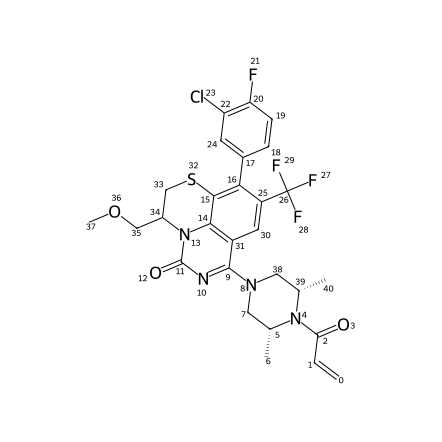 C=CC(=O)N1[C@H](C)CN(c2nc(=O)n3c4c(c(-c5ccc(F)c(Cl)c5)c(C(F)(F)F)cc24)SCC3COC)C[C@@H]1C